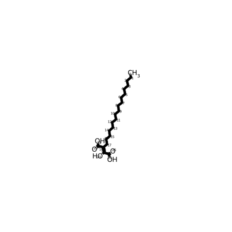 CCCCCCCCCCCCCCCCCC/C(C(=O)O)=C(/O)C(=O)O